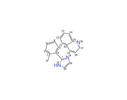 Cc1ccccc1-c1ncc[nH]1.c1ccc2ncccc2c1